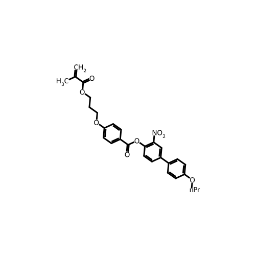 C=C(C)C(=O)OCCCOc1ccc(C(=O)Oc2ccc(-c3ccc(OCCC)cc3)cc2[N+](=O)[O-])cc1